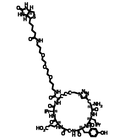 CC(C)C[C@@H]1NC(=O)[C@@H](N)Cc2cn(nn2)CCCC[C@@H](C(=O)NCCCOCCOCCOCCCNC(=O)CCCCC2SC[C@H]3NC(=O)N[C@@H]23)NC(=O)[C@H](C(C)C)NC(=O)[C@H](CCC(=O)O)NC(=O)CNC(=O)[C@H](Cc2ccc(O)cc2)NC1=O